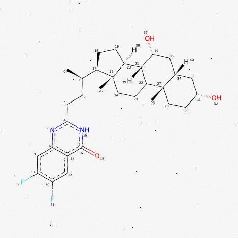 C[C@H](CCc1nc2cc(F)c(F)cc2c(=O)[nH]1)[C@H]1CC[C@H]2[C@H]3C(CC[C@]12C)[C@@]1(C)CC[C@@H](O)C[C@H]1C[C@H]3O